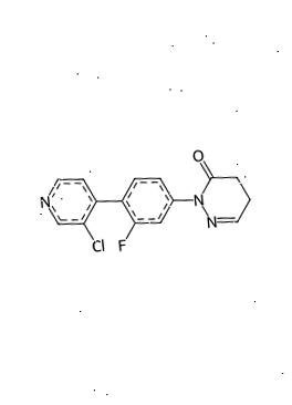 O=C1CCC=NN1c1ccc(-c2ccncc2Cl)c(F)c1